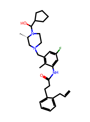 C=CCc1ccccc1CCC(=O)Nc1cc(F)cc(CN2CCN(C(O)C3CCCC3)[C@@H](C)C2)c1C